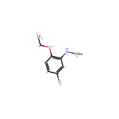 CONc1cc(Cl)ccc1OCC(F)(F)F